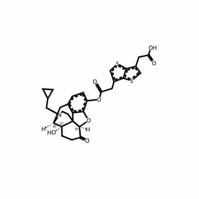 O=C(O)Cc1csc2c(CC(=O)Oc3ccc4c5c3O[C@H]3C(=O)CC[C@@]6(O)[C@@H](C4)N(CC4CC4)CCC536)csc12